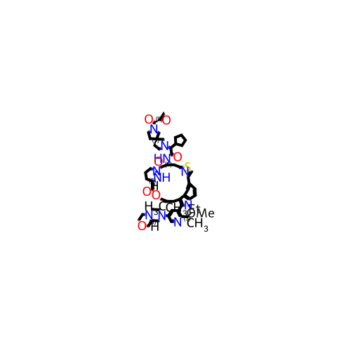 CCn1c(-c2cc(N3CCN4CCOC[C@@H]4C3)cnc2[C@H](C)OC)c2c3cc(ccc31)-c1csc(n1)C[C@H](NC(=O)C(C1CCCC1)N1CC[C@]3(CCN(C(=O)[C@H]4CO4)C3)C1)C(=O)N1CCC[C@H](N1)C(=O)OCC(C)(C)C2